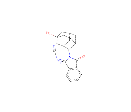 N#C/N=C1/c2ccccc2C(=O)N1C1C2CC3CC1CC(O)(C3)C2